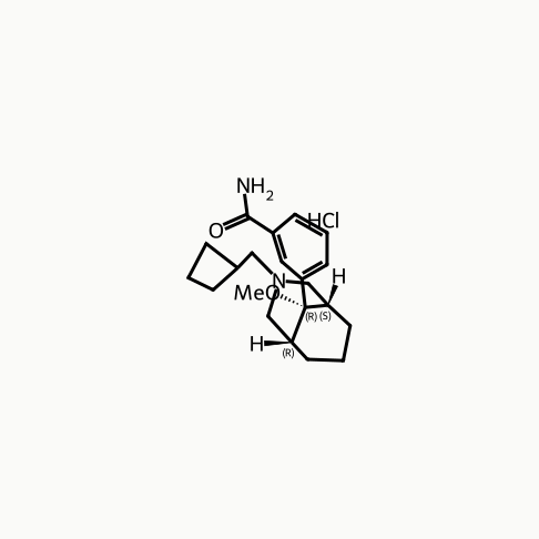 CO[C@@]1(c2cccc(C(N)=O)c2)[C@@H]2CCC[C@H]1CN(CC1CCC1)C2.Cl